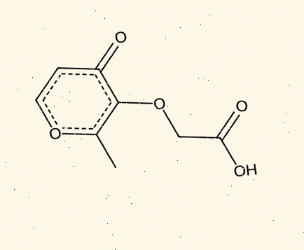 Cc1occc(=O)c1OCC(=O)O